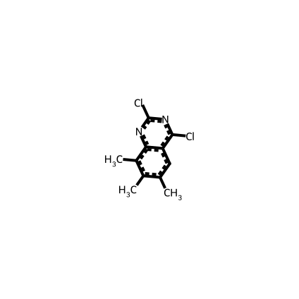 Cc1cc2c(Cl)nc(Cl)nc2c(C)c1C